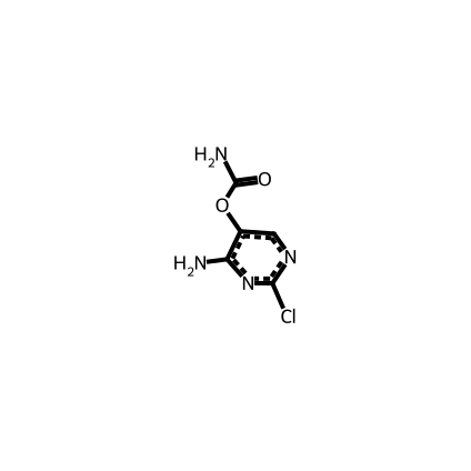 NC(=O)Oc1cnc(Cl)nc1N